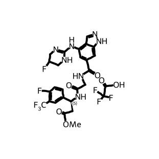 COC(=O)C[C@H](NC(=O)CNC(=O)c1cc(NC2=NCC(F)CN2)c2cn[nH]c2c1)c1ccc(F)c(C(F)(F)F)c1.O=C(O)C(F)(F)F